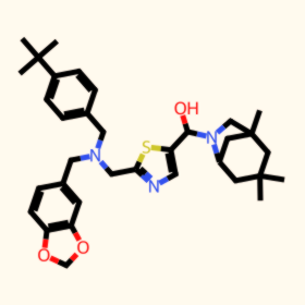 CC1(C)CC2CC(C)(CN2C(O)c2cnc(CN(Cc3ccc(C(C)(C)C)cc3)Cc3ccc4c(c3)OCO4)s2)C1